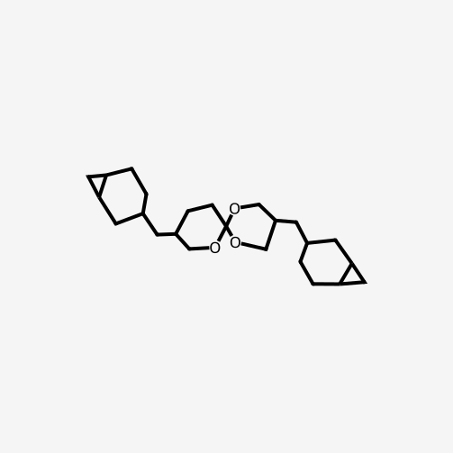 C1CC2(OCC1CC1CCC3CC3C1)OCC(CC1CCC3CC3C1)CO2